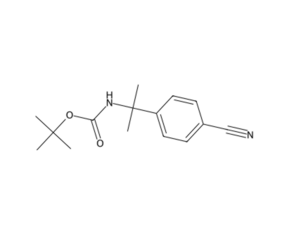 CC(C)(C)OC(=O)NC(C)(C)c1ccc(C#N)cc1